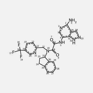 Nc1ncc(NC(=O)C(=O)N(Cc2ccc(C(F)(F)F)cn2)C2CCc3ccccc32)c2[nH]ncc12